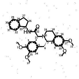 COc1ccc(C[C@H]2c3cc(OC)c(OC)cc3CCN2CC(=O)N[C@@H]2CCc3ccccc32)cc1OC